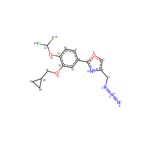 [N-]=[N+]=NCc1coc(-c2ccc(OC(F)F)c(OCC3CC3)c2)n1